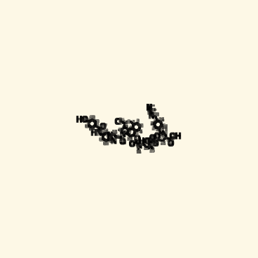 Cc1cccc2c(OC(=O)N(C)CCN(C)P(=O)(O)OCCC(NC(=O)c3ccc(CN=[N+]=[N-])cc3)C(=O)O)cc3c(c12)[C@H](CCl)CN3C(=O)c1cn2cc(NC(=O)c3ccc(O)cc3)ccc2n1